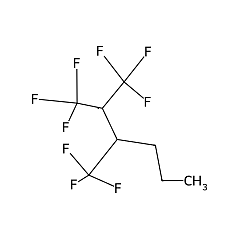 CCCC([C](C(F)(F)F)C(F)(F)F)C(F)(F)F